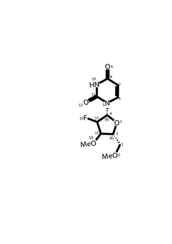 COC[C@H]1O[C@@H](n2ccc(=O)[nH]c2=O)C(F)C1OC